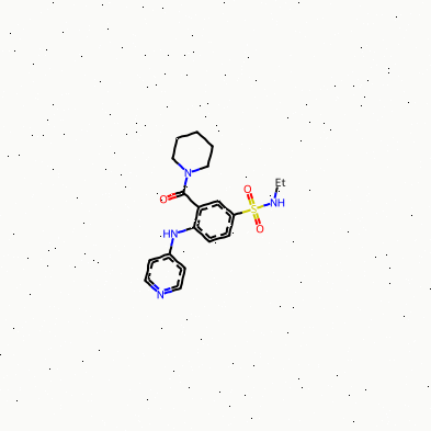 CCNS(=O)(=O)c1ccc(Nc2ccncc2)c(C(=O)N2CCCCC2)c1